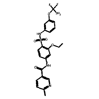 CCOc1cc(NC(=O)c2ccc(C)nc2)ccc1S(=O)(=O)Nc1cccc(OC(F)(F)P)c1